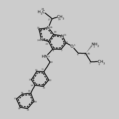 CC[C@@H](N)COc1cc(NCc2ccc(-c3ccccc3)cc2)c2ncn(C(C)C)c2n1